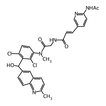 CC(=O)Nc1ccc(C=CC(=O)NCC(=O)N(C)c2ccc(Cl)c(C(O)c3ccc4nc(C)ccc4c3)c2Cl)cn1